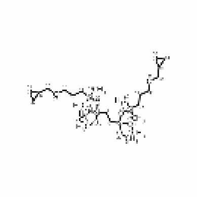 CO[Si](CC[Si](OC)(OC)O[Si](C)(C)CCCOCC1CO1)(OC)O[Si](C)(C)CCCOCC1CO1